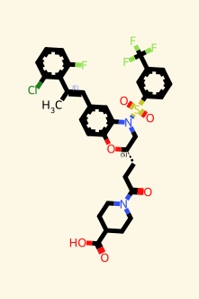 C/C(=C\c1ccc2c(c1)N(S(=O)(=O)c1cccc(C(F)(F)F)c1)C[C@H](CCC(=O)N1CCC(C(=O)O)CC1)O2)c1c(F)cccc1Cl